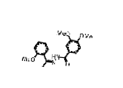 COc1ccc(C(=O)NN=C(C)c2ccccc2OC)cc1OC